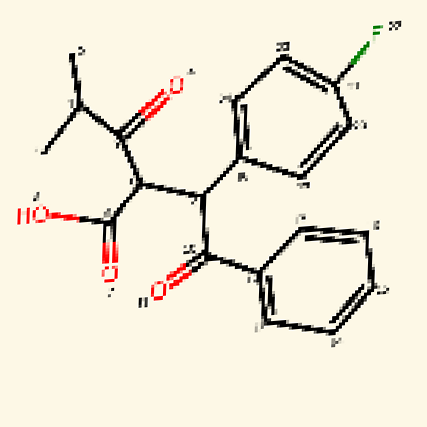 CC(C)C(=O)C(C(=O)O)C(C(=O)c1ccccc1)c1ccc(F)cc1